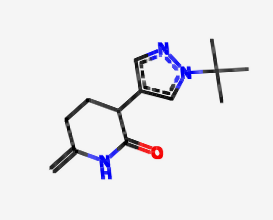 C=C1CCC(c2cnn(C(C)(C)C)c2)C(=O)N1